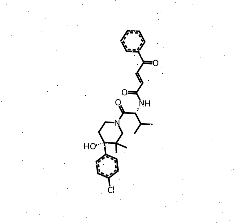 CC(C)[C@@H](NC(=O)/C=C/C(=O)c1ccccc1)C(=O)N1CC[C@](O)(c2ccc(Cl)cc2)C(C)(C)C1